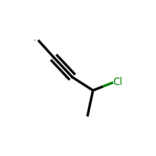 [CH2]C#CC(C)Cl